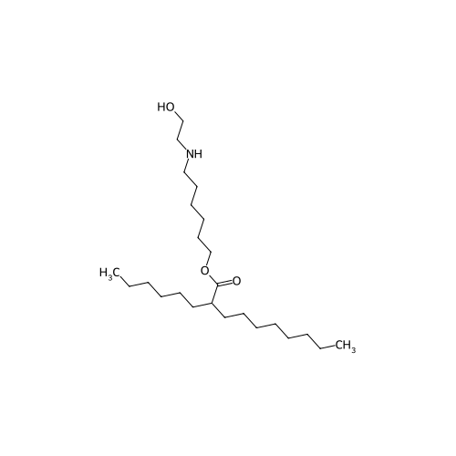 CCCCCCCCC(CCCCCC)C(=O)OCCCCCCNCCO